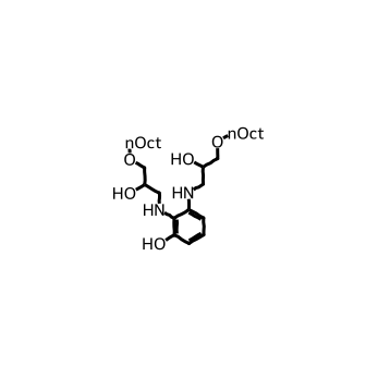 CCCCCCCCOCC(O)CNc1cccc(O)c1NCC(O)COCCCCCCCC